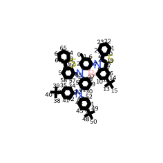 Cc1cc2c3c(c1)-n1c4c(cc(C(C)(C)C)cc4c4sc5ccccc5c41)B3c1ccc(N(c3ccc(C(C)(C)C)cc3)c3ccc(C(C)(C)C)cc3)cc1N2c1cccc2c1sc1ccccc12